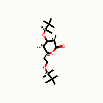 C[C@@H]1C(O[Si](C)(C)C(C)(C)C)[C@@H](C)C(=O)O[C@H]1CCO[Si](C)(C)C(C)(C)C